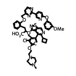 COc1cccc(Oc2ccc(-c3nccc(COc4ccccc4CC(Oc4nsc5cnc(C6CCC6)c(-c6ccc(OCCN7CCN(C)CC7)c(Cl)c6C)c45)C(=O)O)n3)cn2)c1